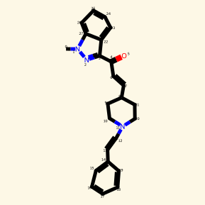 Cn1nc(C(=O)C=CC2CCN(C=Cc3ccccc3)CC2)c2ccccc21